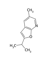 Cc1cnc2oc(C(C)C)cc2c1